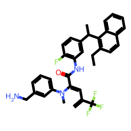 C=C(/C=C(/C(=O)Nc1cc(C(C)c2c(CC)ccc3ccccc23)ccc1F)N(C)c1cccc(CN)c1)C(F)(F)F